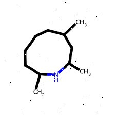 CC1CCCCC(C)NC(C)C1